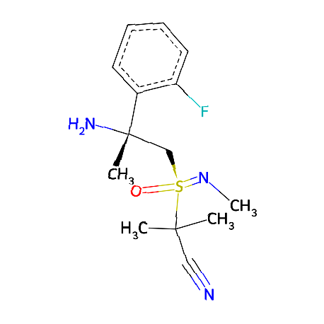 CN=[S@](=O)(C[C@](C)(N)c1ccccc1F)C(C)(C)C#N